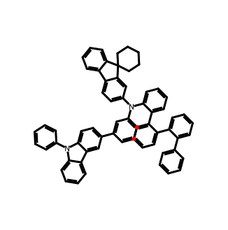 c1ccc(-c2ccccc2-c2ccccc2-c2ccccc2N(c2cccc(-c3ccc4c(c3)c3ccccc3n4-c3ccccc3)c2)c2ccc3c(c2)C2(CCCCC2)c2ccccc2-3)cc1